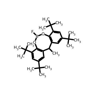 CC1c2cc(C(C)(C)C)cc(C(C)(C)C)c2OB(F)Oc2c1cc(C(C)(C)C)cc2C(C)(C)C